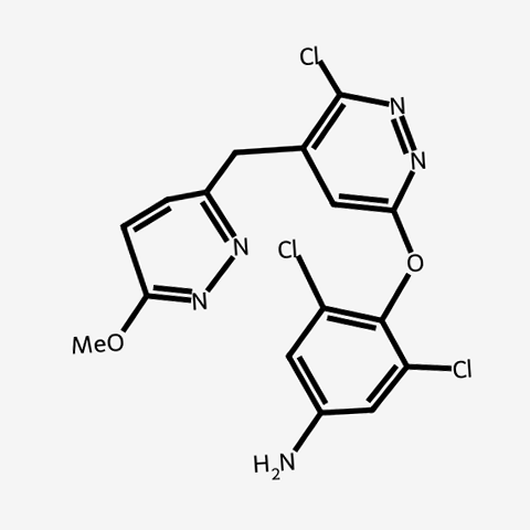 COc1ccc(Cc2cc(Oc3c(Cl)cc(N)cc3Cl)nnc2Cl)nn1